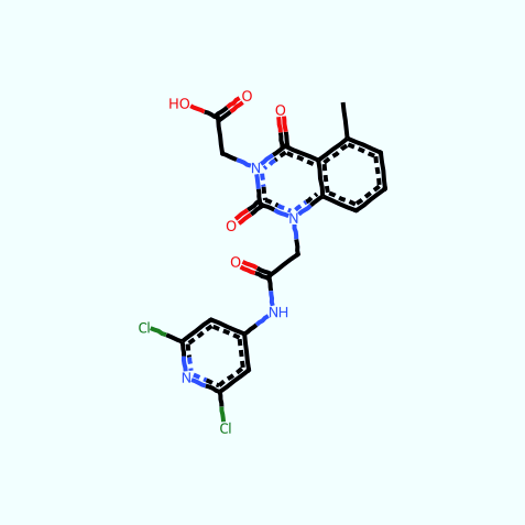 Cc1cccc2c1c(=O)n(CC(=O)O)c(=O)n2CC(=O)Nc1cc(Cl)nc(Cl)c1